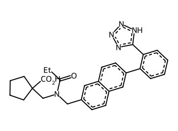 CCC(=O)N(Cc1ccc2cc(-c3ccccc3-c3nnn[nH]3)ccc2c1)CC1(C(=O)O)CCCC1